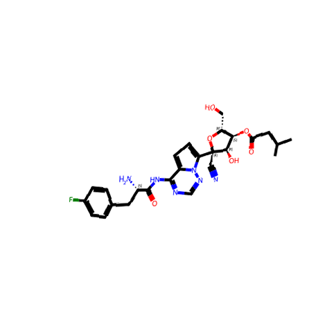 CC(C)CC(=O)O[C@H]1[C@@H](O)[C@](C#N)(c2ccc3c(NC(=O)[C@@H](N)Cc4ccc(F)cc4)ncnn23)O[C@@H]1CO